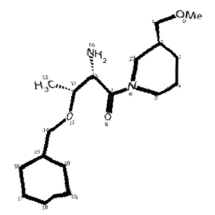 COC[C@H]1CCCN(C(=O)[C@@H](N)[C@@H](C)OCC2CCCCC2)C1